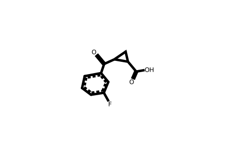 O=C(O)C1CC1C(=O)c1cccc(F)c1